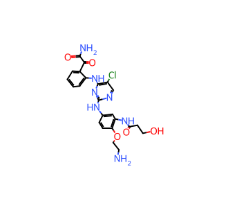 NCCOc1ccc(Nc2ncc(Cl)c(Nc3ccccc3C(=O)C(N)=O)n2)cc1NC(=O)CCO